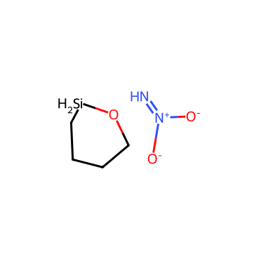 C1CC[SiH2]OC1.N=[N+]([O-])[O-]